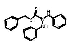 S=C(SCc1ccccc1)N(Nc1ccccc1)Nc1ccccc1